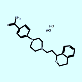 Cl.Cl.NC(=O)c1ccc(N2CCN(CCC3OCCc4ccccc43)CC2)cc1